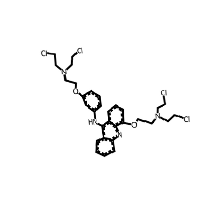 ClCCN(CCCl)CCOc1cccc(Nc2c3ccccc3nc3c(OCCN(CCCl)CCCl)cccc23)c1